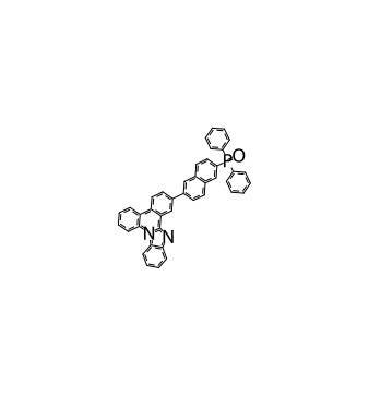 O=P(c1ccccc1)(c1ccccc1)c1ccc2cc(-c3ccc4c5ccccc5n5c6ccccc6nc5c4c3)ccc2c1